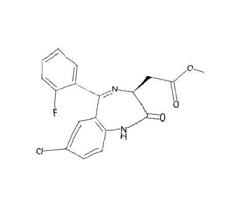 COC(=O)C[C@@H]1N=C(c2ccccc2F)c2cc(Cl)ccc2NC1=O